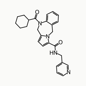 O=C(NCc1cccnc1)c1ccc2n1Cc1ccccc1N(C(=O)C1CCCCC1)C2